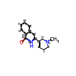 CN1CCC=C(c2cc3ccccc3c(=O)[nH]2)C1